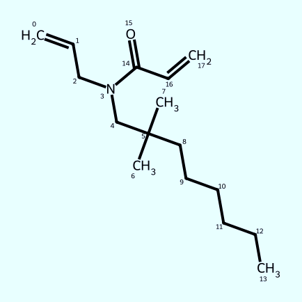 C=CCN(CC(C)(C)CCCCCC)C(=O)C=C